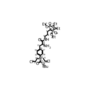 CCOP(=O)(OCC)C(CCCNC(=O)[C@@H](N)Cc1ccc([N+](CCCl)(CCCl)C(=O)OC(C)(C)C)cc1)P(=O)(OCC)OCC